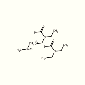 CCN(CC)C(=S)[S-].CCN(CC)C(=S)[S-].C[Se+2]C